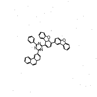 C1=CC2CC=C(c3nc(C4=CC=C(c5ccc6oc7ccccc7c6c5)C5Oc6ccccc6C45)nc(-c4ccccc4)n3)C=C2c2ccccc21